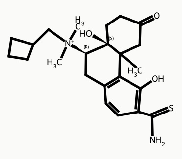 CC12CC(=O)CC[C@@]1(O)[C@H]([N+](C)(C)CC1CCC1)Cc1ccc(C(N)=S)c(O)c12